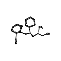 N#Cc1cccnc1S[C@H](C[C@H](N)CO)c1ccccc1